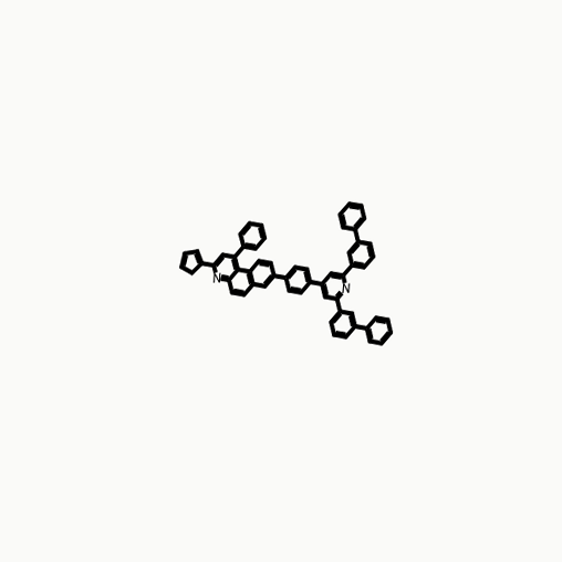 C1=CCC(c2cc(-c3ccccc3)c3c(ccc4cc(-c5ccc(-c6cc(-c7cccc(-c8ccccc8)c7)nc(-c7cccc(-c8ccccc8)c7)c6)cc5)ccc43)n2)=C1